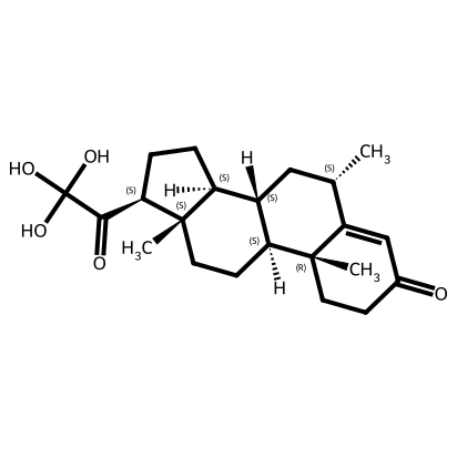 C[C@H]1C[C@H]2[C@@H]3CC[C@H](C(=O)C(O)(O)O)[C@@]3(C)CC[C@@H]2[C@@]2(C)CCC(=O)C=C12